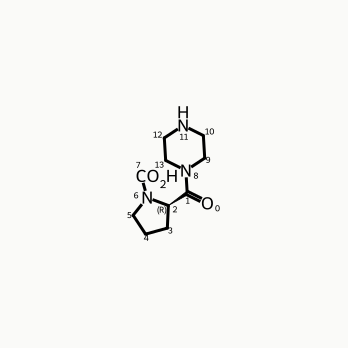 O=C([C@H]1CCCN1C(=O)O)N1CCNCC1